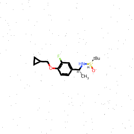 C[C@@H](N[S@@+]([O-])C(C)(C)C)c1ccc(OCC2CC2)c(F)c1